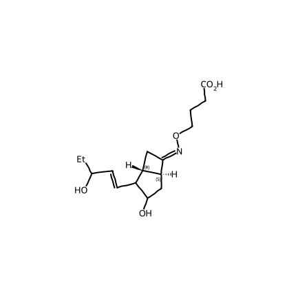 CCC(O)C=CC1C(O)C[C@@H]2C(=NOCCCC(=O)O)C[C@@H]12